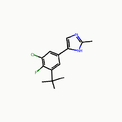 Cc1ncc(-c2cc(Cl)c(F)c(C(C)(C)C)c2)[nH]1